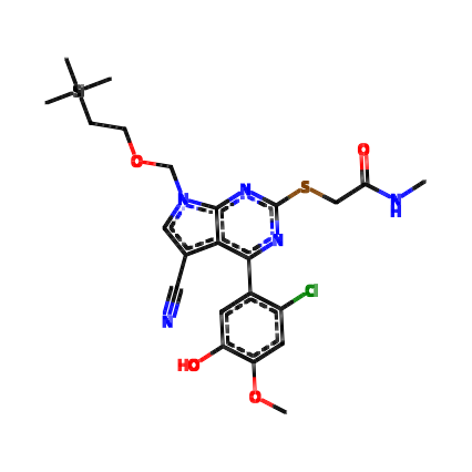 CNC(=O)CSc1nc(-c2cc(O)c(OC)cc2Cl)c2c(C#N)cn(COCC[Si](C)(C)C)c2n1